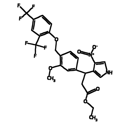 CCOC(=O)CC(c1ccc(COc2ccc(C(F)(F)F)cc2C(F)(F)F)c(OC)c1)c1c[nH]cc1[N+](=O)[O-]